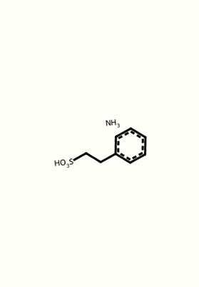 N.O=S(=O)(O)CCc1ccccc1